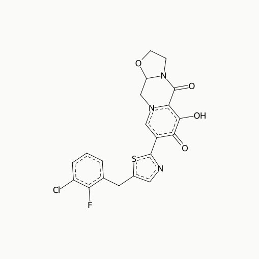 O=C1c2c(O)c(=O)c(-c3ncc(Cc4cccc(Cl)c4F)s3)cn2CC2OCCN12